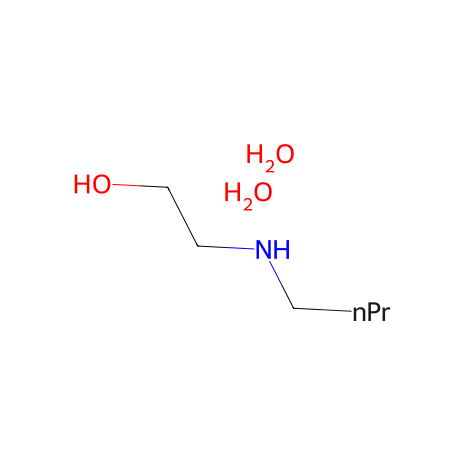 CCCCNCCO.O.O